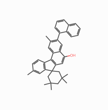 Cc1ccc2c(c1)C1(CC(C)(C)CC(C)(C)C1)c1cc(O)c3cc(-c4cccc5ccccc45)c(C)cc3c1-2